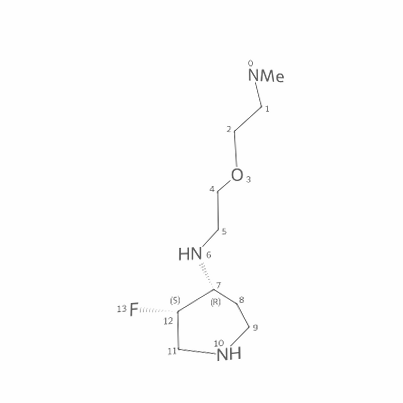 CNCCOCCN[C@@H]1CCNC[C@@H]1F